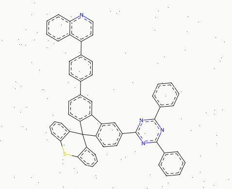 c1ccc(-c2nc(-c3ccccc3)nc(-c3ccc4c(c3)-c3cc(-c5ccc(-c6ccnc7ccccc67)cc5)ccc3C43c4ccccc4Sc4ccccc43)n2)cc1